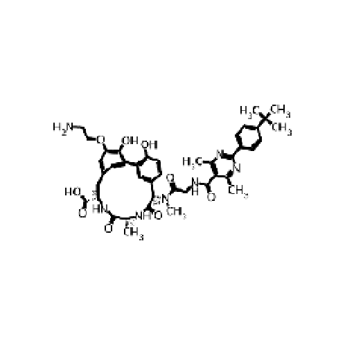 Cc1nc(-c2ccc(C(C)(C)C)cc2)nc(C)c1C(=O)NCC(=O)N(C)[C@@H]1C(=O)N[C@@H](C)C(=O)N[C@H](C(=O)O)Cc2cc(OCCN)c(O)c(c2)-c2cc1ccc2O